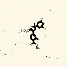 CCOC(=O)C1=C(c2ccc(C(=O)OC(C)(C)C)c(C)c2)CC(C)(c2cc(Cl)cc(Cl)c2)S1